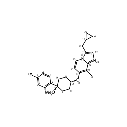 CO[C@]1(c2ccc(F)cc2)CC[C@H](Oc2ccn3c(CC4CC4)nnc3c2C)CC1